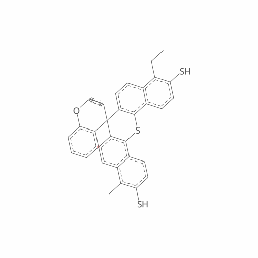 CCc1c(S)ccc2c3c(ccc12)C1(c2ccccc2Oc2ccccc21)c1ccc2c(C)c(S)ccc2c1S3